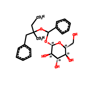 O=C(O)CC(Cc1ccccc1)(OC(O[C@@H]1O[C@H](CO)[C@@H](O)[C@H](O)[C@H]1O)c1ccccc1)C(=O)O